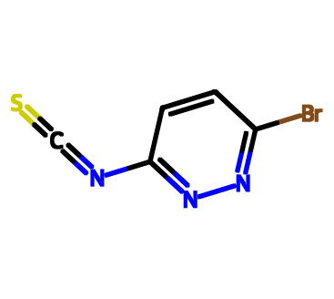 S=C=Nc1ccc(Br)nn1